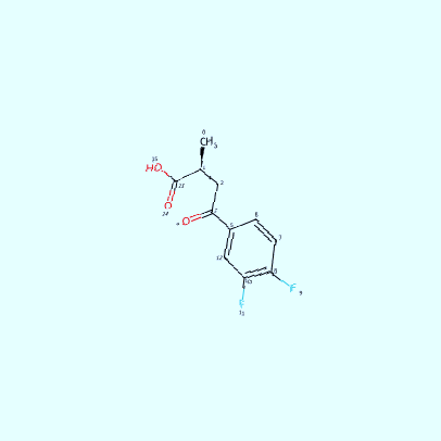 C[C@@H](CC(=O)c1ccc(F)c(F)c1)C(=O)O